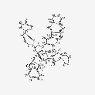 c1ccc(-c2cccc(-c3cc(-c4ccc5c(c4)oc4ccccc45)cc(-c4cc5c(cc4-n4c6ccccc6c6cc7ccccc7cc64)oc4cc6ccccc6cc45)c3)c2)cc1